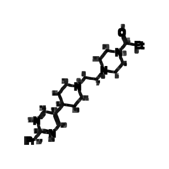 CCC(=O)N1CCN(CCN2CCC(c3cnc(C(C)C)nc3)CC2)CC1